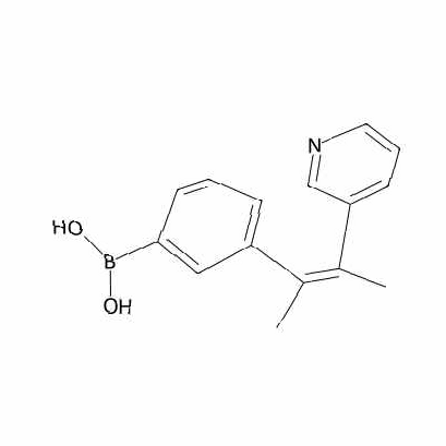 CC(=C(C)c1cccc(B(O)O)c1)c1cccnc1